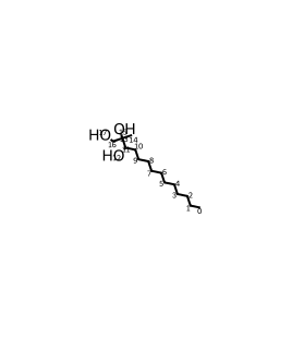 CCCCCCCCCCCC(O)C(C)(O)CO